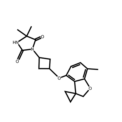 Cc1ccc(OC2CC(N3C(=O)NC(C)(C)C3=O)C2)c2c1OCC21CC1